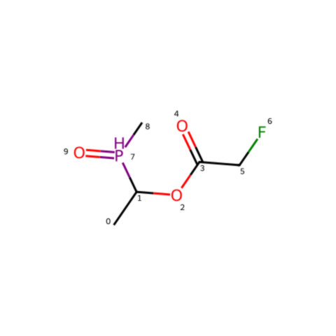 CC(OC(=O)CF)[PH](C)=O